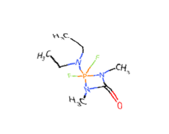 CCN(CC)P1(F)(F)N(C)C(=O)N1C